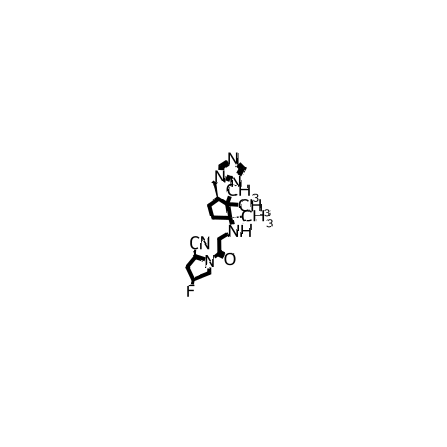 CC1(C)[C@H](Cn2cncn2)CC[C@]1(C)NCC(=O)N1CC(F)C[C@H]1C#N